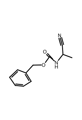 CC(C#N)NC(=O)OCc1ccccc1